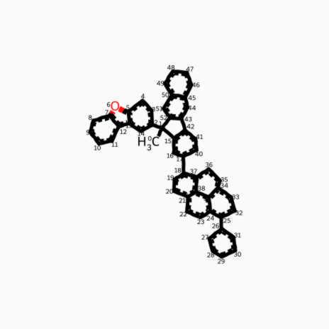 CC1(c2ccc3oc4ccccc4c3c2)c2cc(-c3ccc4ccc5c(-c6ccccc6)ccc6ccc3c4c65)ccc2-c2cc3ccccc3cc21